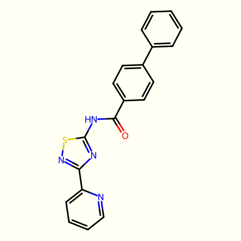 O=C(Nc1nc(-c2ccccn2)ns1)c1ccc(-c2ccccc2)cc1